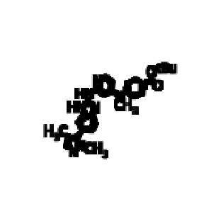 Cc1cnn(C)c1-c1ccc2nc(Nc3cc(C(C)N4CCN(C(=O)OC(C)(C)C)CC4)ccn3)[nH]c2c1